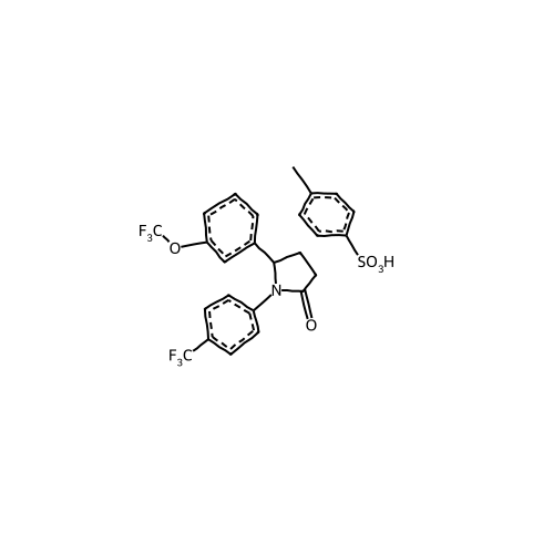 Cc1ccc(S(=O)(=O)O)cc1.O=C1CCC(c2cccc(OC(F)(F)F)c2)N1c1ccc(C(F)(F)F)cc1